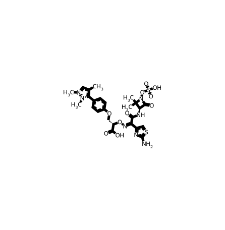 Cc1cn(C)[n+](C)c1-c1ccc(OC[C@H](O/N=C(\C(=O)N[C@@H]2C(=O)N(OS(=O)(=O)O)C2(C)C)c2csc(N)n2)C(=O)O)cc1